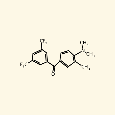 Cc1cc(C(=O)c2cc(C(F)(F)F)cc(C(F)(F)F)c2)ccc1N(C)C